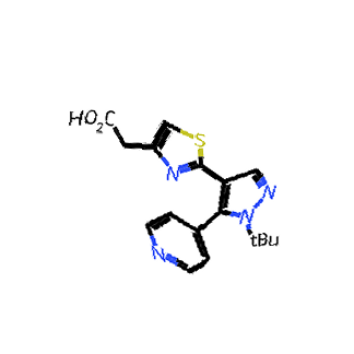 CC(C)(C)n1ncc(-c2nc(CC(=O)O)cs2)c1-c1ccncc1